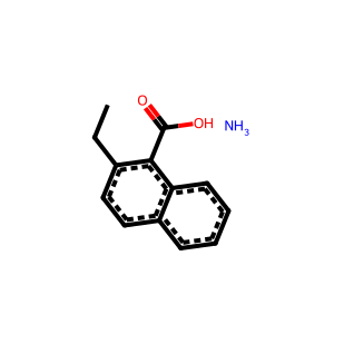 CCc1ccc2ccccc2c1C(=O)O.N